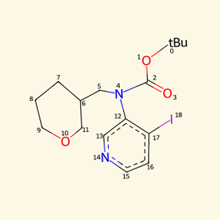 CC(C)(C)OC(=O)N(CC1CCCOC1)c1cnccc1I